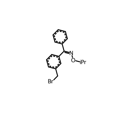 CC(C)ON=C(c1ccccc1)c1cccc(CBr)c1